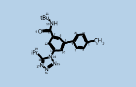 Cc1ccc(-c2cc(C(=O)NC(C)(C)C)cc(-n3nnnc3C(C)C)c2)cc1